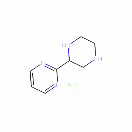 Cl.Cl.c1cnc(C2CNCCN2)nc1